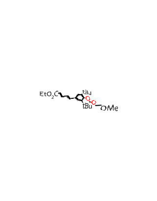 CCOC(=O)/C=C/C=C/c1cc(C(C)(C)C)c(OCOCCOC)c(C(C)(C)C)c1